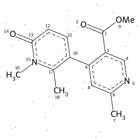 COC(=O)c1cnc(C)cc1-c1ccc(=O)n(C)c1C